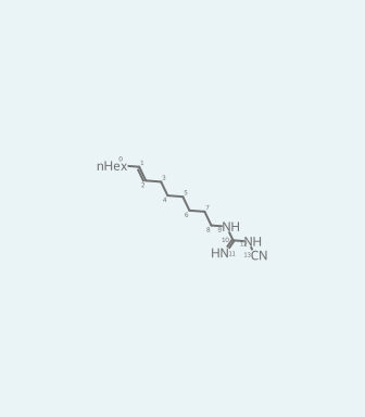 CCCCCC/C=C/CCCCCCNC(=N)NC#N